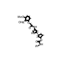 COc1cccc(OCC(=O)Nc2cc([C@H]3CC[C@@H](OC(=O)NC(C)C)C3)[nH]n2)c1C=O